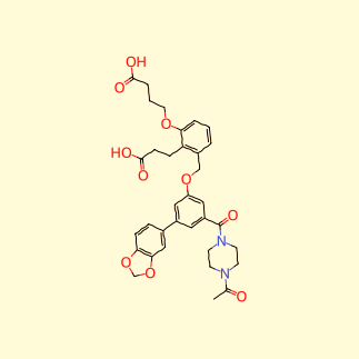 CC(=O)N1CCN(C(=O)c2cc(OCc3cccc(OCCCC(=O)O)c3CCC(=O)O)cc(-c3ccc4c(c3)OCO4)c2)CC1